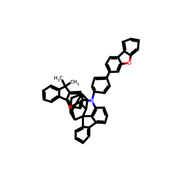 CC1(C)c2ccccc2-c2ccc(N(c3ccc(-c4ccc5c(c4)oc4ccccc45)cc3)c3cccc4c3C3(c5ccccc5-4)C4CC5CC(C4)CC3C5)cc21